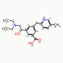 CCN(CC)CC(O)c1cc(Cc2ccc(C)cn2)cc(C(=O)O)c1